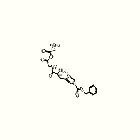 CCCCOC(=O)OC(=O)CNC(=O)[C@@H](N)Cc1cn(C(=O)OCc2ccccc2)cn1